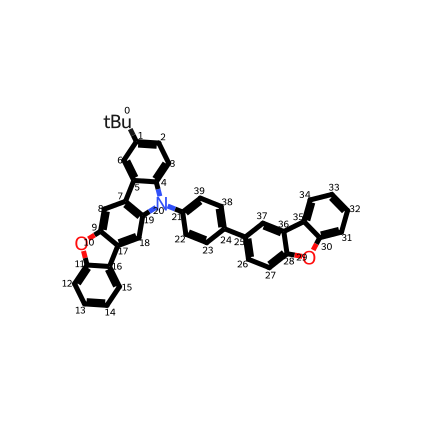 CC(C)(C)c1ccc2c(c1)c1cc3oc4ccccc4c3cc1n2-c1ccc(-c2ccc3oc4ccccc4c3c2)cc1